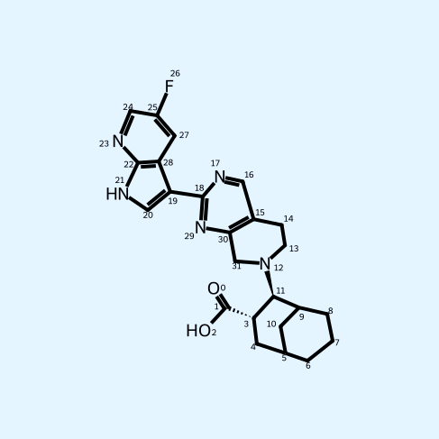 O=C(O)[C@H]1CC2CCCC(C2)[C@@H]1N1CCc2cnc(-c3c[nH]c4ncc(F)cc34)nc2C1